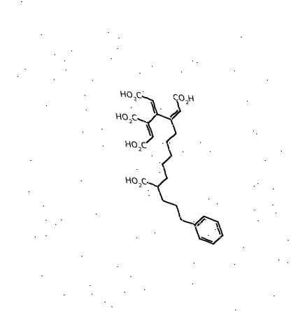 O=C(O)C=C(CCCCCC(CCCc1ccccc1)C(=O)O)C(=CC(=O)O)C(=CC(=O)O)C(=O)O